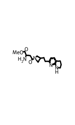 COC(=O)C(N)CC(=O)N1CC(CCc2ccc3c(n2)NCCC3)C1